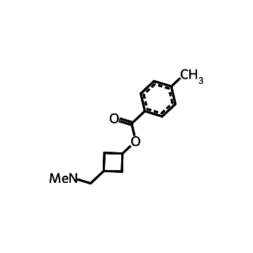 CNCC1CC(OC(=O)c2ccc(C)cc2)C1